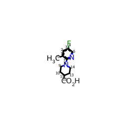 Cc1cc(F)cnc1N1CCC(C(=O)O)CC1